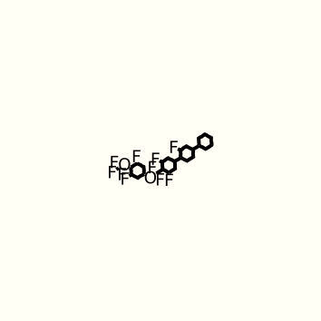 FC1CC(C2CCCCC2)CCC1C1CC(F)C(C(F)(F)OC2CC(F)C(OC(F)(F)F)C(F)C2)C(F)C1